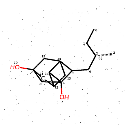 CC[C@H](C)CC1C2(O)CC3(O)CC4CC1(C3)C42